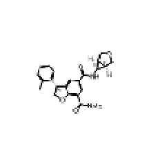 CNC(=O)c1cc(C(=O)NC2[C@H]3COC[C@@H]23)cc2c1OC[C@@H]2c1ccccc1C